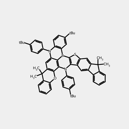 CC(C)(C)c1ccc(N2c3ccc(C(C)(C)C)cc3B3c4sc5cc6c(cc5c4N(c4ccc(C(C)(C)C)cc4)c4c5c(cc2c43)C(C)(C)c2ccccc2O5)-c2ccccc2C6(C)C)cc1